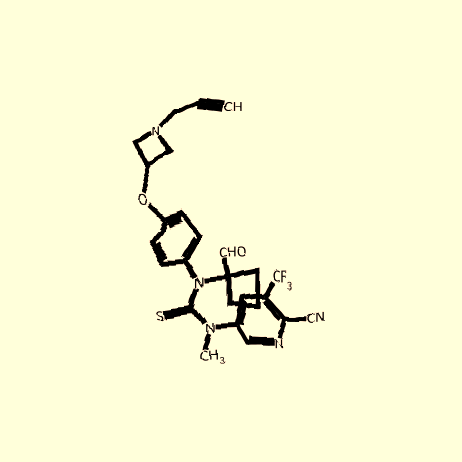 C#CCN1CC(Oc2ccc(N(C(=S)N(C)c3cnc(C#N)c(C(F)(F)F)c3)C3(C=O)CCC3)cc2)C1